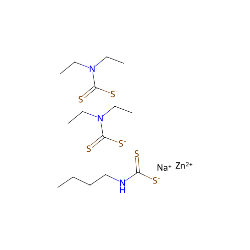 CCCCNC(=S)[S-].CCN(CC)C(=S)[S-].CCN(CC)C(=S)[S-].[Na+].[Zn+2]